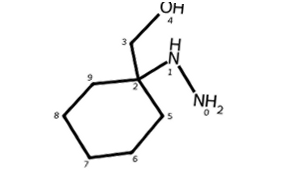 NNC1(CO)CCCCC1